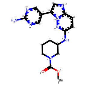 CC(C)(C)OC(=O)N1CCCC(Nc2ccc3ncc(-c4cnc(N)nc4)n3n2)C1